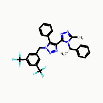 Cc1nnc(-c2nnn(Cc3cc(C(F)(F)F)cc(C(F)(F)F)c3)c2-c2ccccc2)n1[C@@H](C)c1ccccc1